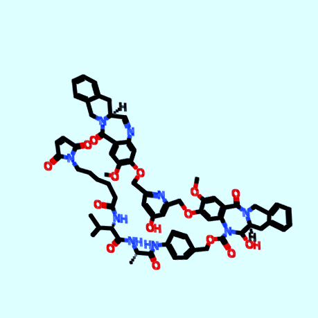 COc1cc2c(cc1OCc1cc(O)cc(COc3cc4c(cc3OC)C(=O)N3Cc5ccccc5C[C@H]3C(O)N4C(=O)OCc3ccc(NC(=O)[C@H](C)NC(=O)[C@@H](NC(=O)CCCCCN4C(=O)C=CC4=O)C(C)C)cc3)n1)N=C[C@@H]1Cc3ccccc3CN1C2=O